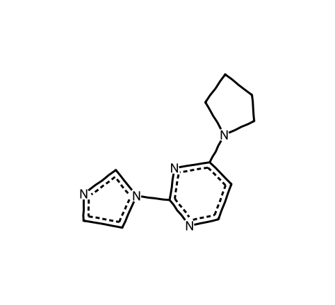 c1cn(-c2nccc(N3CCCC3)n2)cn1